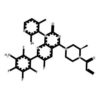 C=CC(=O)N1CCN(c2nc(=O)n(-c3c(C)ccnc3C(C)C)c3nc(-c4c(F)c(N)c(F)c(F)c4F)c(F)cc23)C[C@H]1C